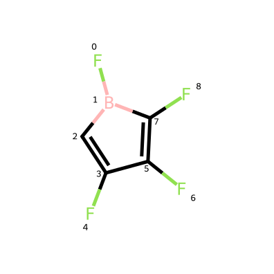 FB1C=C(F)C(F)=C1F